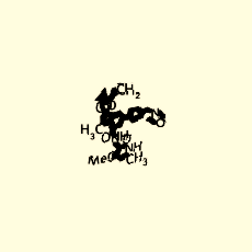 C=CCC1(S(=O)(=O)n2cc(C)c3c(C(=O)NCc4c(OC)cc(C)[nH]c4=O)cc(-c4ccc(CN5CCOCC5)cc4)cc32)CC1